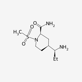 CC[C@H](N)[C@H]1CCN(S(C)(=O)=O)[C@@H](C(N)=O)C1